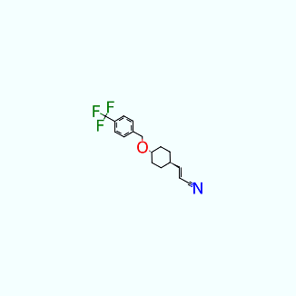 N#C/C=C/[C@H]1CC[C@H](OCc2ccc(C(F)(F)F)cc2)CC1